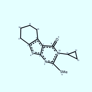 CSc1nc2sc3c(c2c(=O)n1C1CC1)CCCC3